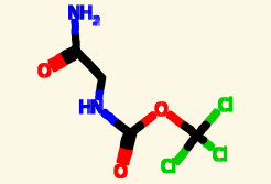 NC(=O)CNC(=O)OC(Cl)(Cl)Cl